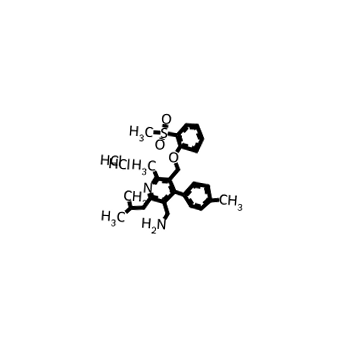 Cc1ccc(-c2c(COc3ccccc3S(C)(=O)=O)c(C)nc(CC(C)C)c2CN)cc1.Cl.Cl